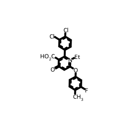 CCn1c(Oc2ccc(C)c(F)c2)cc(=O)c(C(=O)O)c1-c1ccc(Cl)c(Cl)c1